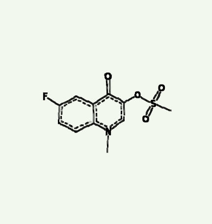 Cn1cc(OS(C)(=O)=O)c(=O)c2cc(F)ccc21